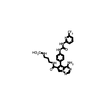 Nc1ncnn2cc(C(=O)NCCCNC(=O)O)c(-c3ccc(NC(=O)Nc4cccc(C(F)(F)F)n4)cc3)c12